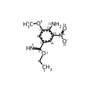 CCOC(=N)c1cc(OC)c(N)c([N+](=O)[O-])c1